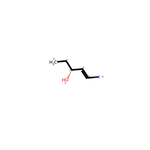 CC[C@@H](O)/C=C/I